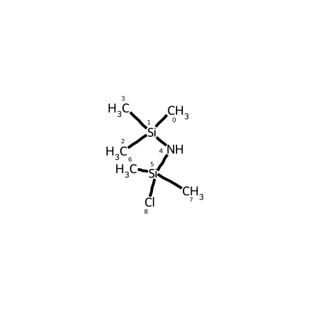 C[Si](C)(C)N[Si](C)(C)Cl